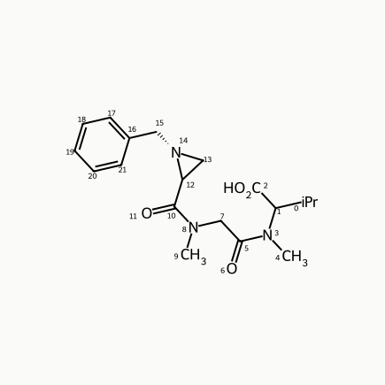 CC(C)C(C(=O)O)N(C)C(=O)CN(C)C(=O)C1C[N@@]1Cc1ccccc1